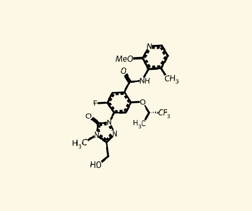 COc1nccc(C)c1NC(=O)c1cc(F)c(-n2nc(CO)n(C)c2=O)cc1O[C@@H](C)C(F)(F)F